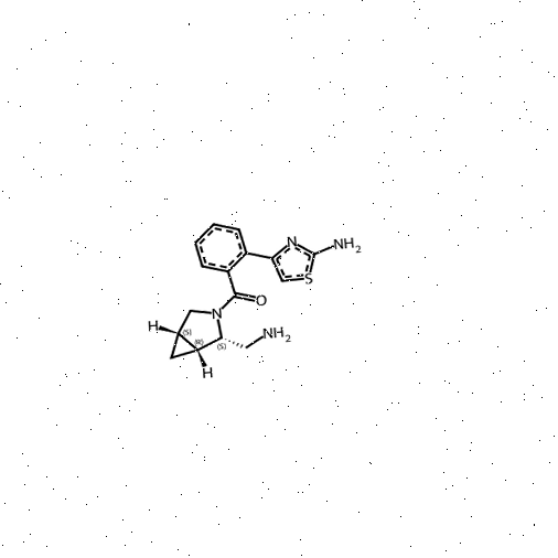 NC[C@@H]1[C@@H]2C[C@@H]2CN1C(=O)c1ccccc1-c1csc(N)n1